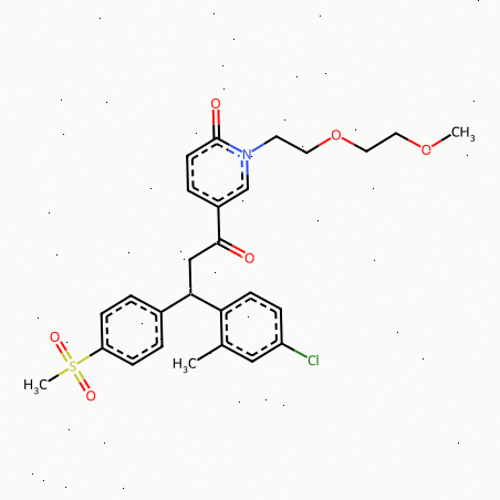 COCCOCCn1cc(C(=O)CC(c2ccc(S(C)(=O)=O)cc2)c2ccc(Cl)cc2C)ccc1=O